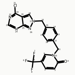 O=c1ccc(C(F)(F)F)cn1Cc1ccc(Cn2cc3c(Cl)ncnc3n2)cc1